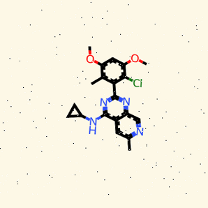 COc1cc(OC)c(Cl)c(-c2nc(NC3CC3)c3cc(C)ncc3n2)c1C